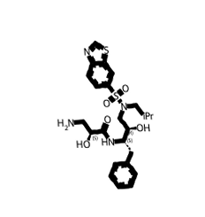 CC(C)CN(C[C@@H](O)[C@H](Cc1ccccc1)NC(=O)[C@@H](O)CN)S(=O)(=O)c1ccc2ncsc2c1